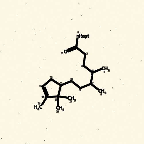 CCCCCCCC(=O)CCC(C)C(C)CCC1CC=C(C)C1(C)C